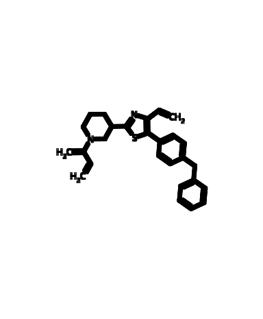 C=CC(=C)N1CCCC(c2nc(C=C)c(-c3ccc(Cc4ccccc4)cc3)s2)C1